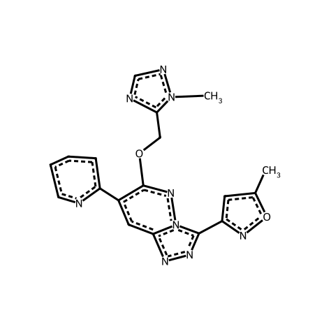 Cc1cc(-c2nnc3cc(-c4ccccn4)c(OCc4ncnn4C)nn23)no1